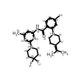 CC(C)=C1CCN(c2cc(I)ccc2C(=O)Nc2cc(C)nc(N3CCC(F)(F)CC3)n2)CC1